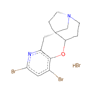 Br.Brc1cc(Br)c2c(n1)C[C@@]13CC[N@](CCC1O2)C3